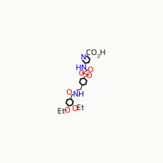 CCOc1ccc(C(=O)NCCc2ccc(S(=O)(=O)C(=O)Nc3ccc(C(=O)O)nc3)cc2)cc1OCC